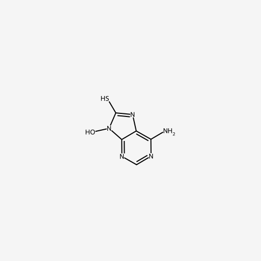 Nc1ncnc2c1nc(S)n2O